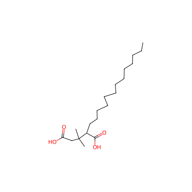 CCCCCCCCCCCCCC(C(=O)O)C(C)(C)CC(=O)O